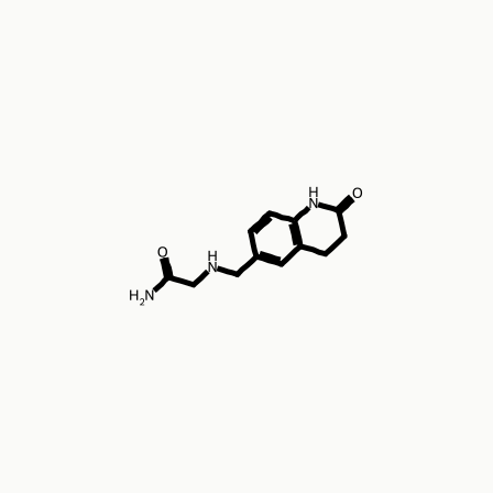 NC(=O)CNCc1ccc2c(c1)CCC(=O)N2